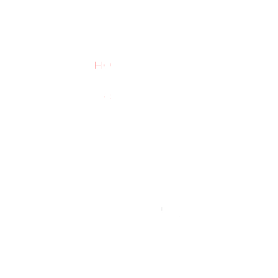 CC1CCC(C2CCC(OCO)CC2)CC1